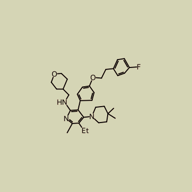 CCc1c(C)nc(NCC2CCOCC2)c(-c2ccc(OCCc3ccc(F)cc3)cc2)c1N1CCC(C)(C)CC1